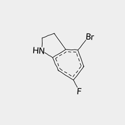 Fc1cc(Br)c2c(c1)NCC2